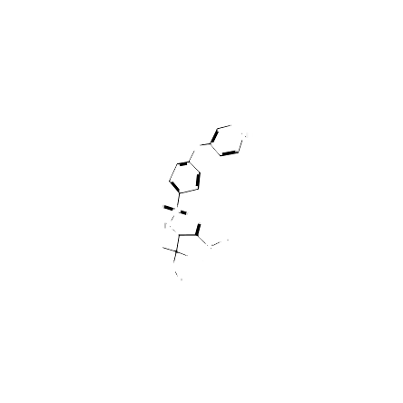 CC/C=C(\C=C/N)Oc1ccc(S(=O)(=O)N[C@@H](C(=O)NO)C(C)(C)SCCC)cc1